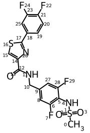 CS(=O)(=O)Nc1c(F)cc(CNC(=O)c2csc(-c3ccc(F)c(F)c3)n2)cc1F